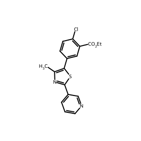 CCOC(=O)c1cc(-c2sc(-c3cccnc3)nc2C)ccc1Cl